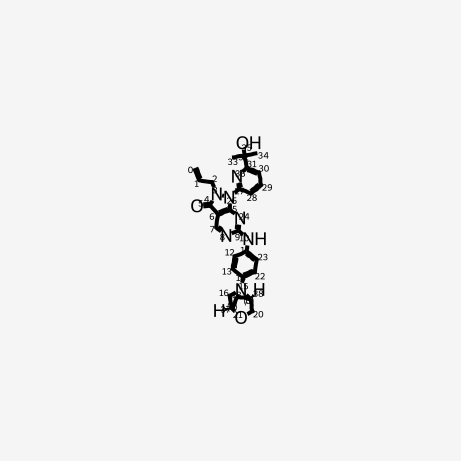 C=CCn1c(=O)c2cnc(Nc3ccc(N4C[C@@H]5C[C@H]4CO5)cc3)nc2n1-c1cccc(C(C)(C)O)n1